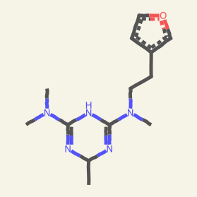 CC1N=C(N(C)C)NC(N(C)CCc2ccoc2)=N1